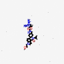 COCCn1ccc2c(C(=O)N(C3CC3)C3CCc4nn(C(=O)OC(C)(CN=[N+]=[N-])CN=[N+]=[N-])cc4C3)cccc21